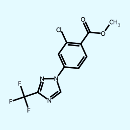 COC(=O)c1ccc(-n2cnc(C(F)(F)F)n2)cc1Cl